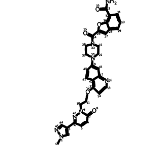 Cn1cc(-c2ccc(=O)n(CCOc3ccnc4cc(N5CCN(C(=O)c6cc7cccc(C(N)=O)c7o6)CC5)ccc34)n2)cn1